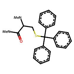 CNC(=O)C(CSC(c1ccccc1)(c1ccccc1)c1ccccc1)NC